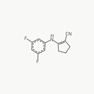 N#CC1=C(Nc2cc(F)cc(F)c2)CCC1